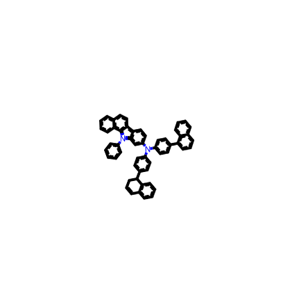 C1=Cc2ccccc2C(c2ccc(N(c3ccc(-c4cccc5ccccc45)cc3)c3ccc4c5ccc6ccccc6c5n(-c5ccccc5)c4c3)cc2)C1